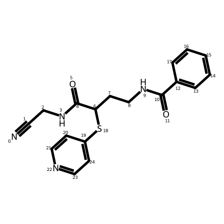 N#CCNC(=O)C(CCNC(=O)c1ccccc1)Sc1ccncc1